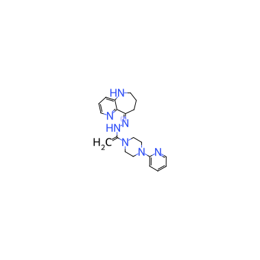 C=C(N/N=C1/CCCNc2cccnc21)N1CCN(c2ccccn2)CC1